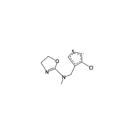 CN(Cc1cs[c]c1Cl)C1=NCCO1